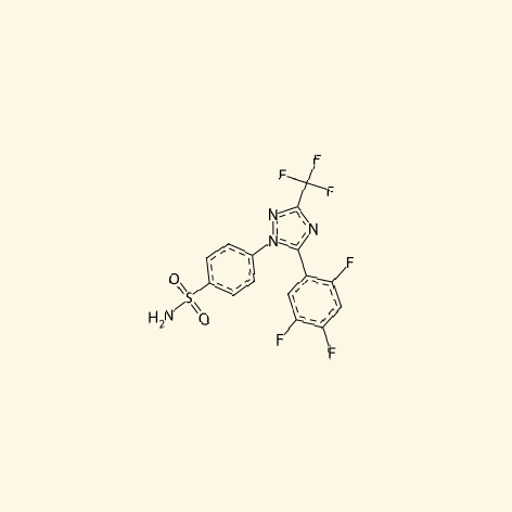 NS(=O)(=O)c1ccc(-n2nc(C(F)(F)F)nc2-c2cc(F)c(F)cc2F)cc1